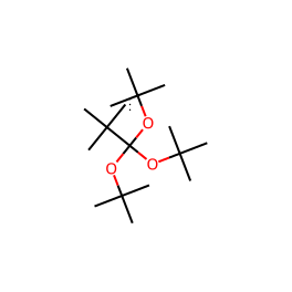 [C]C(C)(C)C(OC(C)(C)C)(OC(C)(C)C)OC(C)(C)C